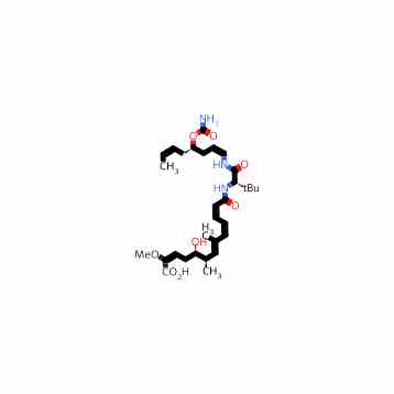 C/C=C\C[C@@H](C/C=C\NC(=O)[C@@H](NC(=O)\C=C/C=C\C(C)=C\[C@H](C)[C@@H](O)C/C=C(/OC)C(=O)O)C(C)(C)C)OC(N)=O